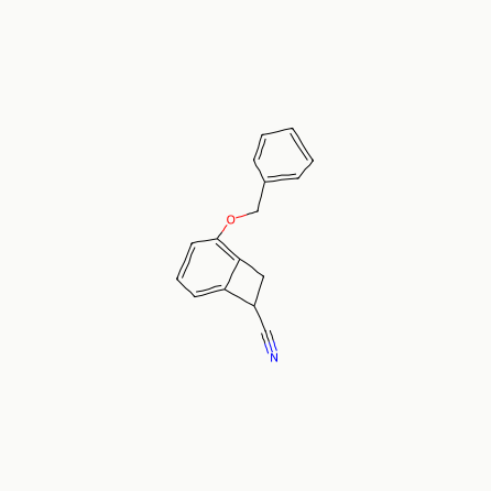 N#CC1Cc2c(OCc3ccccc3)cccc21